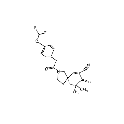 CC1(C)C[C@]2(C=C(C#N)C1=O)CCN(C(=O)Cc1ccc(OC(F)F)cc1)C2